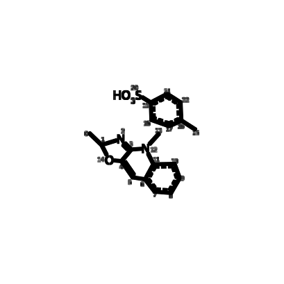 CC1N=C2C(=Cc3ccccc3N2C)O1.Cc1ccc(S(=O)(=O)O)cc1